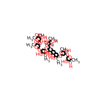 CO[C@H](C(=O)[C@@H](O)[C@@H](C)O)[C@@H]1Cc2cc3cc(O[C@H]4C[C@@H](O[C@H]5C[C@@H](O)[C@H](O)C(C)O5)[C@H](O)C(C)O4)c(C)c(O)c3c(O)c2C(=O)[C@H]1O[C@H]1C[C@@H](O[C@H]2C[C@@H](O[C@H]3C[C@](C)(O)[C@H](O)C(C)O3)[C@H](O)C(C)O2)[C@H](O)C(C)O1